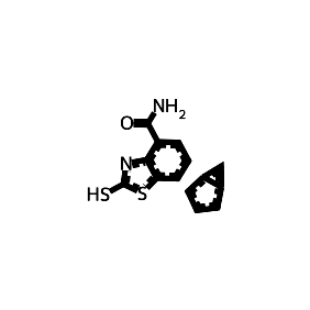 NC(=O)c1cccc2sc(S)nc12.c1cc2cc-2c1